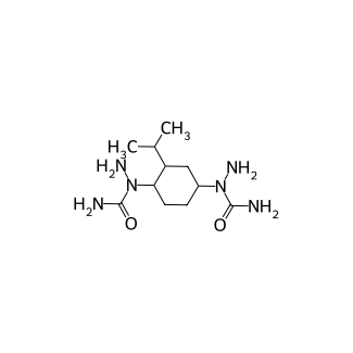 CC(C)C1CC(N(N)C(N)=O)CCC1N(N)C(N)=O